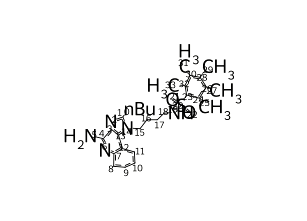 CCCCc1nc2c(N)nc3ccccc3c2n1CCCCNS(=O)(=O)c1c(C)c(C)c(C)c(C)c1C